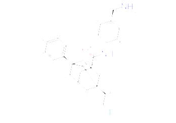 NC[C@H]1CC[C@H](NC(=O)C23CC4C[C@@](CCF)(C2)C[C@](c2ccccc2)(C4)C3)CC1